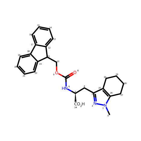 Cn1nc(C[C@H](NC(=O)OCC2c3ccccc3-c3ccccc32)C(=O)O)c2c1CCCC2